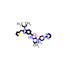 CCC(CC)n1c(Cc2cccs2)nc2cc(C(=O)N[C@@H](CC(C)C)C(=O)NC3CCN(c4ncccn4)CC3)ccc21